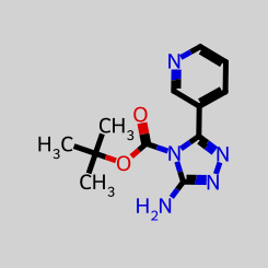 CC(C)(C)OC(=O)n1c(N)nnc1-c1cccnc1